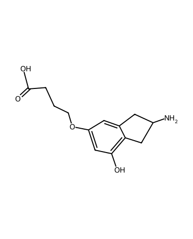 NC1Cc2cc(OCCCC(=O)O)cc(O)c2C1